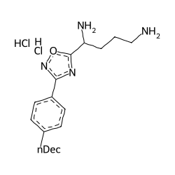 CCCCCCCCCCc1ccc(-c2noc(C(N)CCCN)n2)cc1.Cl.Cl